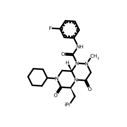 CC(C)C[C@H]1C(=O)N(C2CCCCC2)C[C@H]2N1C(=O)CN(C)N2C(=O)Nc1cccc(F)c1